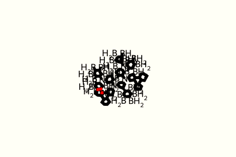 Bc1c(B)c(B)c(-c2cc3c4c(c2)N(c2ccc5c6ccccc6c6ccccc6c5c2)c2cc(N(c5c(B)c(B)c(B)c(B)c5B)c5c(B)c(B)c(B)c(B)c5B)ccc2B4c2ccc(N(c4c(B)c(B)c(B)c(B)c4B)c4c(B)c(B)c(B)c(B)c4B)cc2N3c2ccc3c4ccccc4c4ccccc4c3c2)c(B)c1B